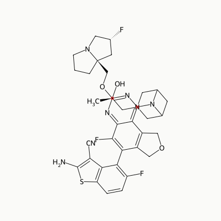 C[C@@H](O)CN1CC2CC(C1)N2c1nc(OC[C@@]23CCCN2C[C@H](F)C3)nc2c(F)c(-c3c(F)ccc4sc(N)c(C#N)c34)c3c(c12)COC3